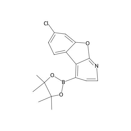 CC1(C)OB(c2ccnc3oc4cc(Cl)ccc4c23)OC1(C)C